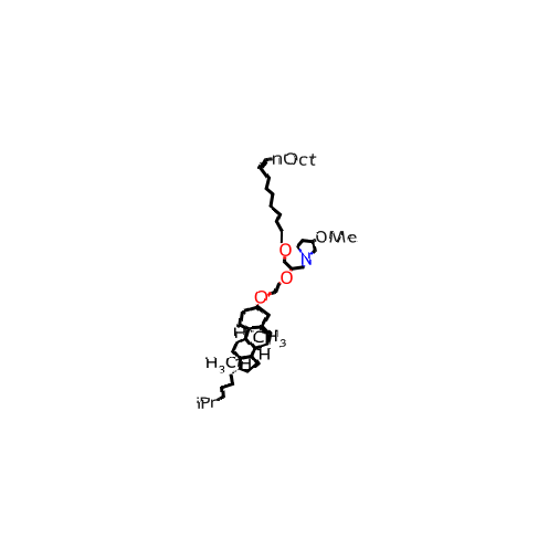 CCCCCCCC/C=C\CCCCCCCCOCC(CN1CCC(OC)C1)OCCO[C@H]1CC[C@@]2(C)C(=CC[C@H]3[C@@H]4CC[C@H](CCCCC(C)C)[C@@]4(C)CC[C@@H]32)C1